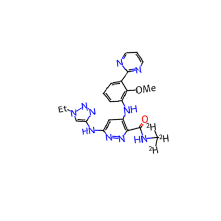 [2H]C([2H])([2H])NC(=O)c1nnc(Nc2cn(CC)nn2)cc1Nc1cccc(-c2ncccn2)c1OC